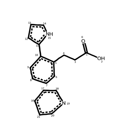 O=C(O)CCc1ccccc1-c1ccc[nH]1.c1ccncc1